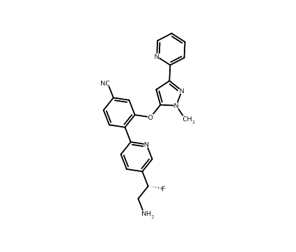 Cn1nc(-c2ccccn2)cc1Oc1cc(C#N)ccc1-c1ccc([C@H](F)CN)cn1